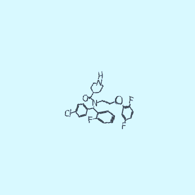 O=C(C1CCNCC1)N(CCOc1cc(F)ccc1F)[C@@H](c1ccc(Cl)cc1)c1ccccc1F